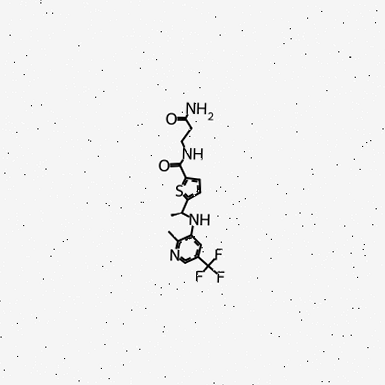 Cc1ncc(C(F)(F)F)cc1N[C@@H](C)c1ccc(C(=O)NCCC(N)=O)s1